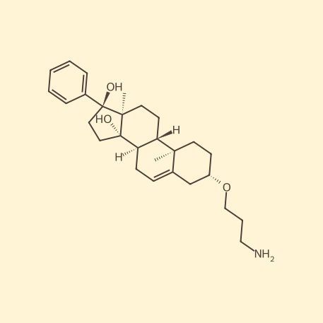 C[C@]12CC[C@H]3[C@@H](CC=C4C[C@@H](OCCCN)CC[C@@]43C)[C@@]1(O)CC[C@]2(O)c1ccccc1